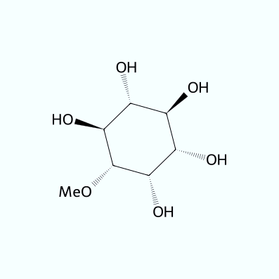 CO[C@@H]1[C@@H](O)[C@H](O)[C@@H](O)[C@H](O)[C@@H]1O